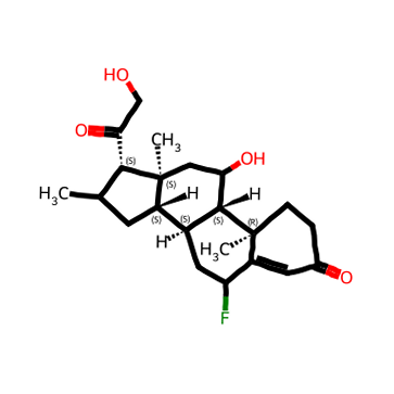 CC1C[C@H]2[C@@H]3CC(F)C4=CC(=O)CC[C@]4(C)[C@H]3C(O)C[C@]2(C)[C@H]1C(=O)CO